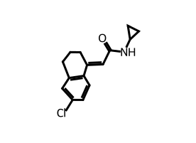 O=C(/C=C1\CCCc2cc(Cl)ccc21)NC1CC1